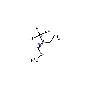 CC/C(=C\OC)C(F)(F)F